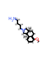 COc1cccc2c1CC[C@H]1CN(CCCCN)C[C@@H]21